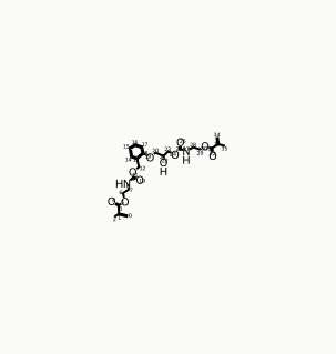 C=C(C)C(=O)OCCNC(=O)OCc1ccccc1OCC(O)COC(=O)NCCOC(=O)C(=C)C